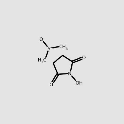 C[S+](C)[O-].O=C1CCC(=O)N1O